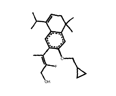 CC(=C(F)CO)c1cc2c(cc1OCC1CC1)C(C)(C)CC=C2C(C)C